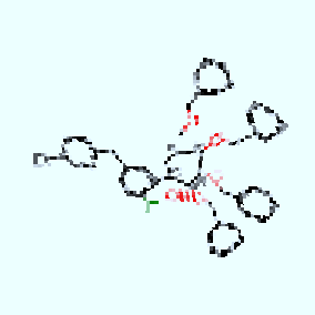 CCc1ccc(Cc2ccc(F)c([C@@]3(O)C[C@H](COCc4ccccc4)[C@@H](OCc4ccccc4)[C@H](OCc4ccccc4)[C@H]3OCc3ccccc3)c2)cc1